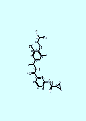 Cc1cc(C(C)NC(=O)c2ccnc(NC(=O)C3CC3)n2)cc(Cl)c1OCC(F)F